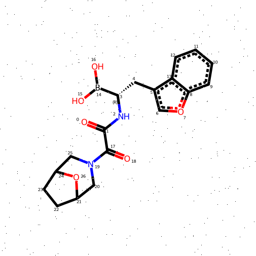 O=C(N[C@@H](Cc1coc2ccccc12)B(O)O)C(=O)N1CC2CCC(C1)O2